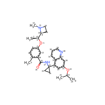 Cc1ccc(O[C@@H]([SiH3])[C@@H]2CCN2C)cc1C(=O)NC1(c2cc(OC(C)C)cc3ncccc23)CC1